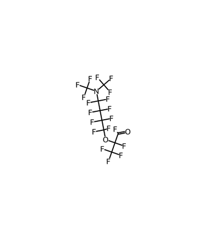 O=C(F)C(F)(OC(F)(F)C(F)(F)C(F)(F)C(F)(F)N(C(F)(F)F)C(F)(F)F)C(F)(F)F